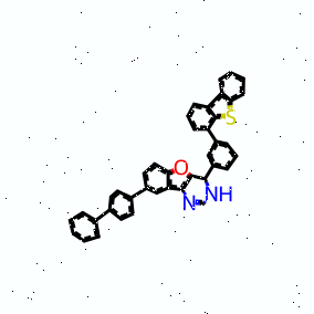 C1=Nc2c(oc3ccc(-c4ccc(-c5ccccc5)cc4)cc23)C(c2cccc(-c3cccc4c3sc3ccccc34)c2)N1